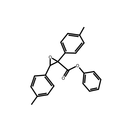 Cc1ccc(C2OC2(C(=O)Oc2ccccc2)c2ccc(C)cc2)cc1